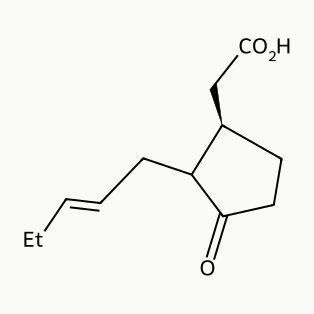 CCC=CCC1C(=O)CC[C@@H]1CC(=O)O